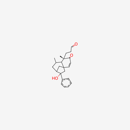 CC1CC2CC3(C=CC(=O)[C@@](C)(CCC=O)C13)CC2(O)c1ccccc1